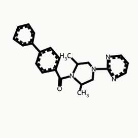 CC1CN(c2ncccn2)CC(C)N1C(=O)c1ccc(-c2ccccc2)cc1